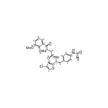 CCc1csc([C@H](Cc2ccc(N[SH](=O)=O)cc2)NC(=O)CCC(=O)c2cccc(OC)c2OC)n1